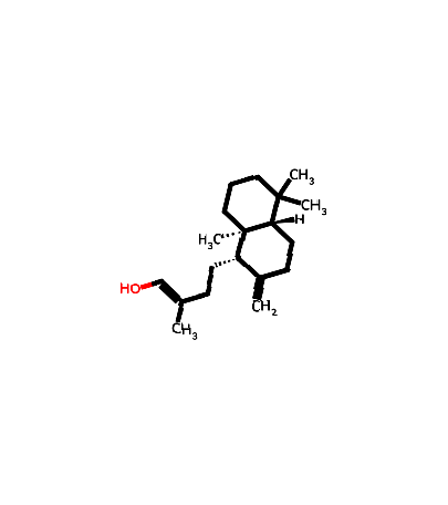 C=C1CC[C@H]2C(C)(C)CCC[C@]2(C)[C@H]1CCC(C)=CO